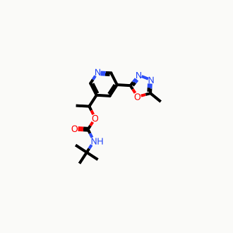 Cc1nnc(-c2cncc(C(C)OC(=O)NC(C)(C)C)c2)o1